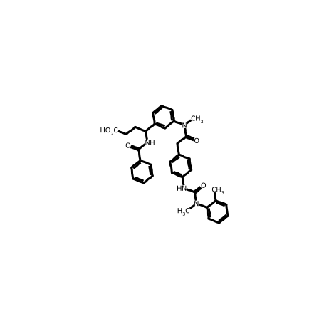 Cc1ccccc1N(C)C(=O)Nc1ccc(CC(=O)N(C)c2cccc(C(CCC(=O)O)NC(=O)c3ccccc3)c2)cc1